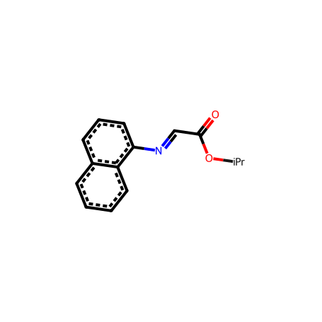 CC(C)OC(=O)C=Nc1cccc2ccccc12